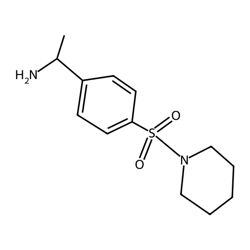 CC(N)c1ccc(S(=O)(=O)N2CCCCC2)cc1